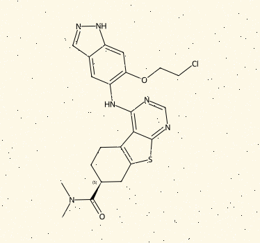 CN(C)C(=O)[C@H]1CCc2c(sc3ncnc(Nc4cc5cn[nH]c5cc4OCCCl)c23)C1